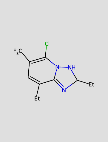 CCC1=CC(C(F)(F)F)=C(Cl)N2NC(CC)N=C12